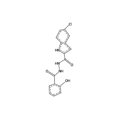 O=C(NNC(=O)c1ccccc1O)c1cc2cc(Cl)ccc2[nH]1